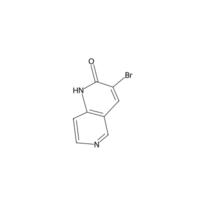 O=c1[nH]c2ccncc2cc1Br